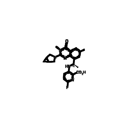 Cc1cc([C@H](C)Nc2ccc(F)nc2C(=O)O)c2nc(N3CC4CC4C3)n(C)c(=O)c2c1